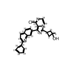 CC1(O)CC(c2nc(-c3ccc4ccc(-c5ccccc5)nc4c3)c3c(Cl)nccn23)C1